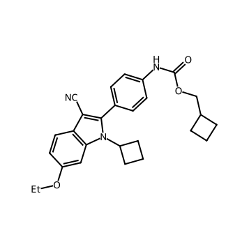 CCOc1ccc2c(C#N)c(-c3ccc(NC(=O)OCC4CCC4)cc3)n(C3CCC3)c2c1